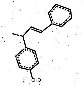 CC(C=Cc1ccccc1)c1ccc(C=O)cc1